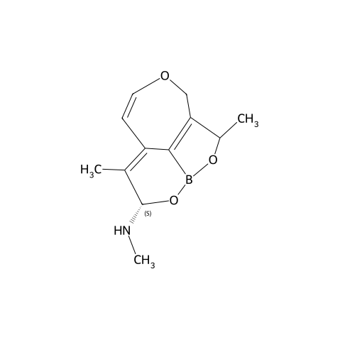 CN[C@H]1OB2OC(C)C3=C2C(=C1C)C=COC3